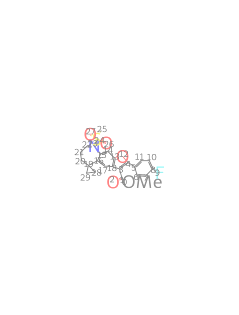 COC(=O)c1c(-c2ccc(F)cc2)oc2cc3c(cc12)C1(CCCN3S(C)(=O)=O)CC1